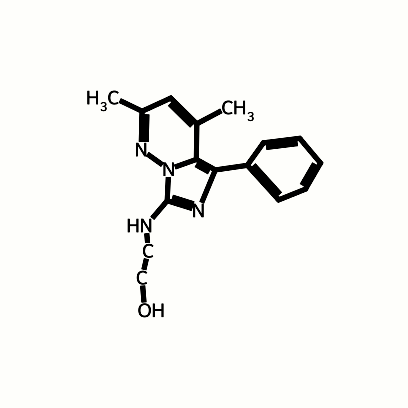 Cc1cc(C)c2c(-c3ccccc3)nc(NCCO)n2n1